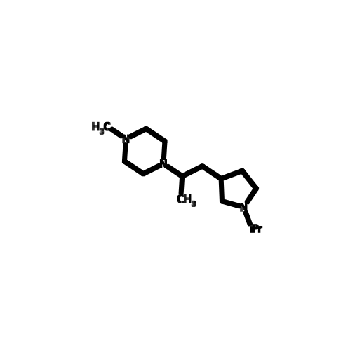 CC(C)N1CCC(CC(C)N2CCN(C)CC2)C1